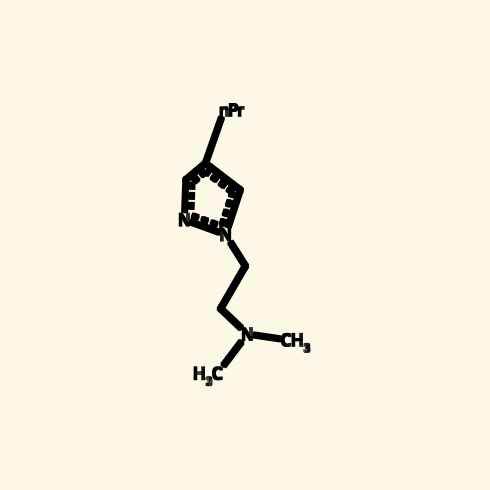 CCCc1cnn(CCN(C)C)c1